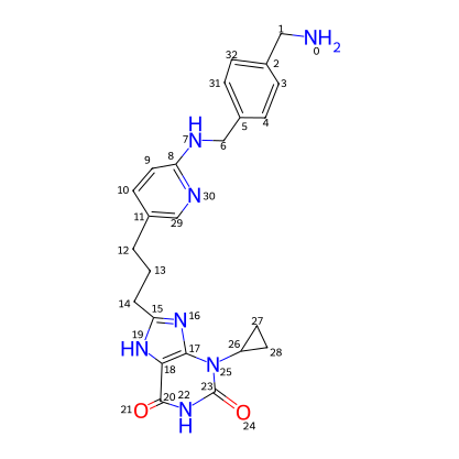 NCc1ccc(CNc2ccc(CCCc3nc4c([nH]3)c(=O)[nH]c(=O)n4C3CC3)cn2)cc1